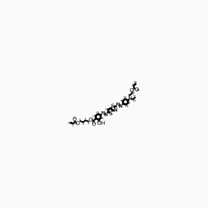 C=CC(=O)OCCCCOC(=O)c1ccc(/N=N/c2cc3sc(/N=N/c4ccc(N(CC)CCOC(=O)C=C)cc4)nc3s2)cc1O